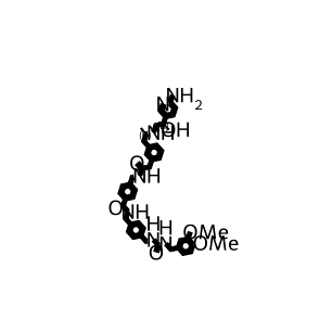 COc1ccc(CNC(=O)NCc2ccc(CNC(=O)c3ccc(CNC(=O)Cc4cccc(C[C@@H](C)NC[C@H](O)c5ccc(N)nc5)c4)cc3)cc2)cc1OC